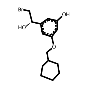 Oc1cc(OCC2CCCCC2)cc([C@H](O)CBr)c1